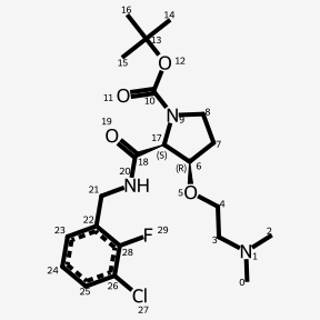 CN(C)CCO[C@@H]1CCN(C(=O)OC(C)(C)C)[C@@H]1C(=O)NCc1cccc(Cl)c1F